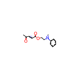 CC(=O)/C=C/C(=O)OCCN(C)c1ccccc1